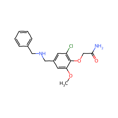 COc1cc(CNCc2ccccc2)cc(Cl)c1OCC(N)=O